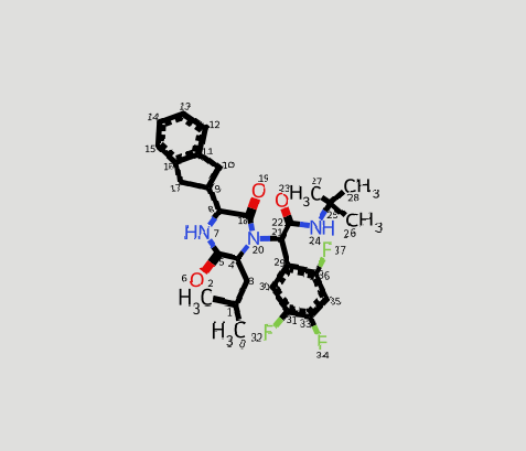 CC(C)CC1C(=O)NC(C2Cc3ccccc3C2)C(=O)N1C(C(=O)NC(C)(C)C)c1cc(F)c(F)cc1F